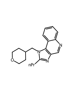 CCCc1nc2cnc3ccccc3c2n1CC1CCOCC1